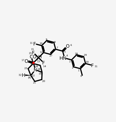 Cc1cc(NC(=O)c2ccc(F)c(C(F)(F)C(=O)N3C4CC[C@@H]3C[C@@H](C(=O)O)C4)c2)ccc1F